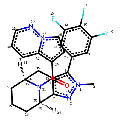 Cn1nc2c(c1-c1cc(F)c(F)c(F)c1)C[C@@H]1CCC[C@H]2N1C(=O)c1ccn2ncccc12